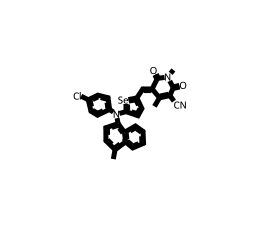 CC1=C(C#N)C(=O)N(C)C(=O)/C1=C/c1ccc(N(c2ccc(Cl)cc2)c2ccc(C)c3ccccc23)[se]1